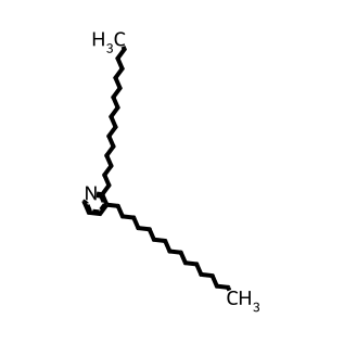 CCCCCCCCCCCCCCCCc1cccnc1CCCCCCCCCCCCCCCC